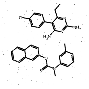 CCc1nc(N)nc(N)c1-c1ccc(Cl)cc1.Cc1cccc(N(C)C(=S)Oc2ccc3ccccc3c2)c1